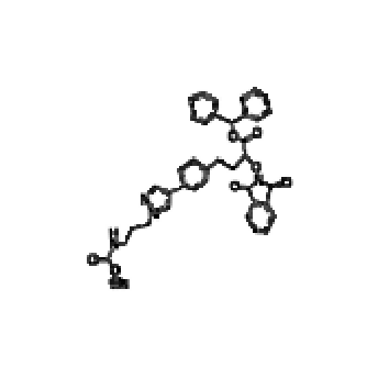 CC(C)(C)OC(=O)NCCCn1cc(-c2ccc(CCC(ON3C(=O)c4ccccc4C3=O)C(=O)OC(c3ccccc3)c3ccccc3)cc2)cn1